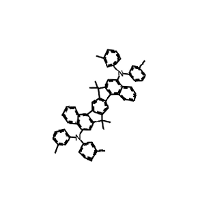 Cc1cccc(N(c2cccc(C)c2)c2cc3c(c4ccccc24)-c2cc4c(cc2C3(C)C)-c2c(cc(N(c3cccc(C)c3)c3cccc(C)c3)c3ccccc23)C4(C)C)c1